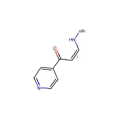 CCCN/C=C\C(=O)c1ccncc1